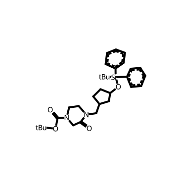 CC(C)(C)OC(=O)N1CCN(CC2CCC(O[Si](c3ccccc3)(c3ccccc3)C(C)(C)C)C2)C(=O)C1